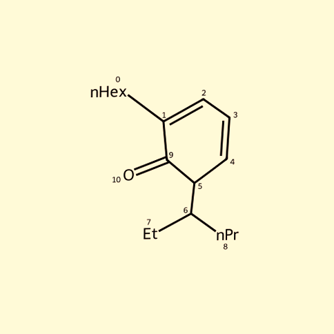 [CH2]CCCCCC1=CC=CC(C(CC)CCC)C1=O